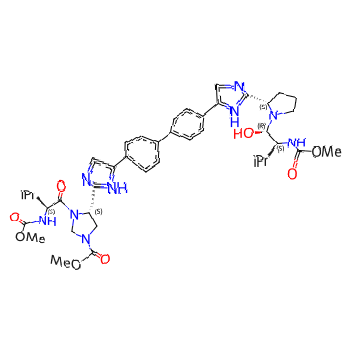 COC(=O)N[C@H](C(=O)N1CN(C(=O)OC)C[C@H]1c1ncc(-c2ccc(-c3ccc(-c4cnc([C@@H]5CCCN5[C@H](O)[C@@H](NC(=O)OC)C(C)C)[nH]4)cc3)cc2)[nH]1)C(C)C